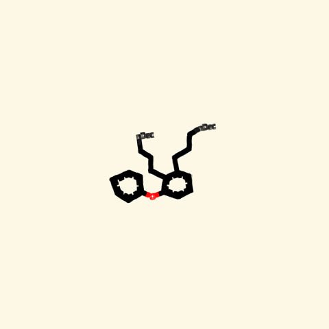 CCCCCCCCCCCCCc1[c]ccc(Oc2cc[c]cc2)c1CCCCCCCCCCCCC